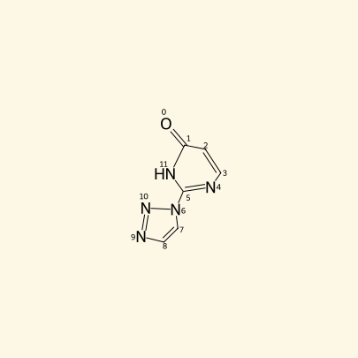 O=c1ccnc(-n2ccnn2)[nH]1